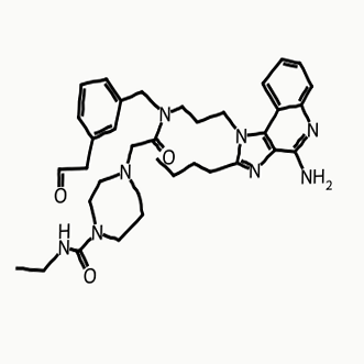 CCCCc1nc2c(N)nc3ccccc3c2n1CCCN(Cc1cccc(CC=O)c1)C(=O)CN1CCCN(C(=O)NCC)CC1